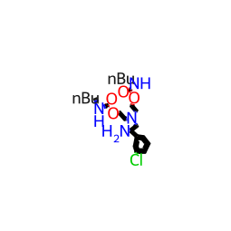 CCCCNC(=O)OCCN(CCOC(=O)NCCCC)CC(N)c1cccc(Cl)c1